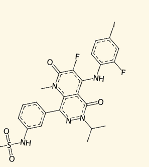 CC(C)n1nc(-c2cccc(NS(C)(=O)=O)c2)c2c(c(Nc3ccc(I)cc3F)c(F)c(=O)n2C)c1=O